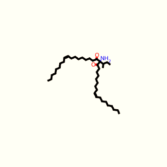 CCCCCCCC/C=C\CCCCCCCC(=O)C(N)(C(=O)CCCCCCC/C=C\CCCCCCCC)C(C)CC